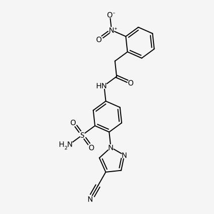 N#Cc1cnn(-c2ccc(NC(=O)Cc3ccccc3[N+](=O)[O-])cc2S(N)(=O)=O)c1